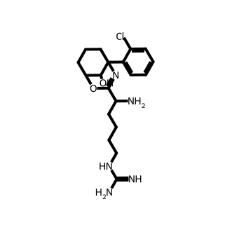 N=C(N)NCCCCC(N)C1=NC2(c3ccccc3Cl)CCCC(O1)C2O